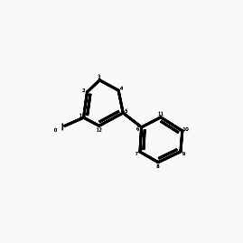 IC1=CCCC(c2ccccc2)=C1